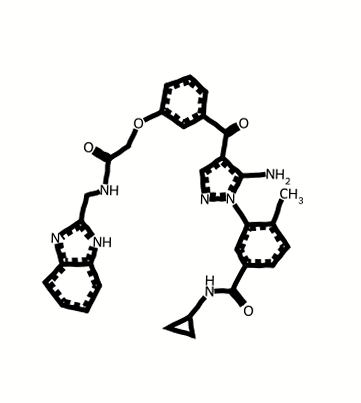 Cc1ccc(C(=O)NC2CC2)cc1-n1ncc(C(=O)c2cccc(OCC(=O)NCc3nc4ccccc4[nH]3)c2)c1N